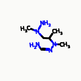 CC(CN(C)N)N(C)/N=C\N